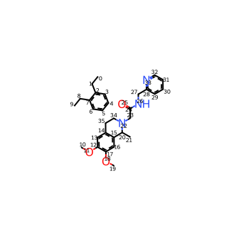 CCc1ccccc1CC.COc1cc2c(cc1OC)C(C)N(CC(=O)NCc1ccccn1)CC2